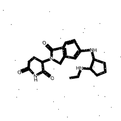 CCNC1CCCC1Nc1ccc2c(c1)CN(C1CCC(=O)NC1=O)C2=O